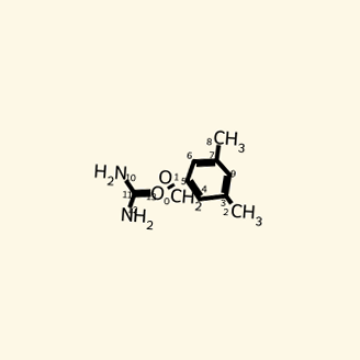 C=O.Cc1cccc(C)c1.NC(N)=O